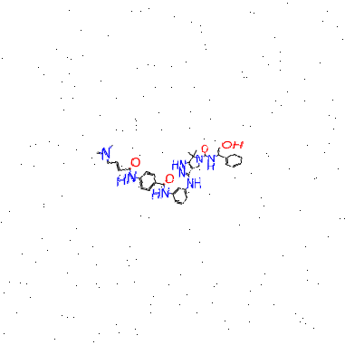 CN(C)CC=CC(=O)Nc1ccc(C(=O)Nc2cccc(Nc3n[nH]c4c3CN(C(=O)NC(CO)c3ccccc3)C4(C)C)c2)cc1